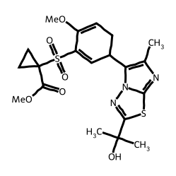 COC(=O)C1(S(=O)(=O)C2=CC(c3c(C)nc4sc(C(C)(C)O)nn34)CC=C2OC)CC1